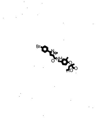 CCCC(C)(Oc1ccc(CNC(=O)c2cc(-c3ccc(Br)cc3)nn2C)cc1C)C(=O)O